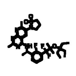 CC[Si](CC)(CC)OC(C)(C)C(F)(F)c1cccc([C@@H](C)Nc2nc(C)nc3nc(C)c(N4CCCS4(=O)=O)cc23)c1F